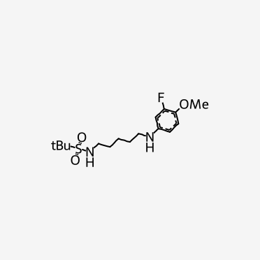 COc1ccc(NCCCCCNS(=O)(=O)C(C)(C)C)cc1F